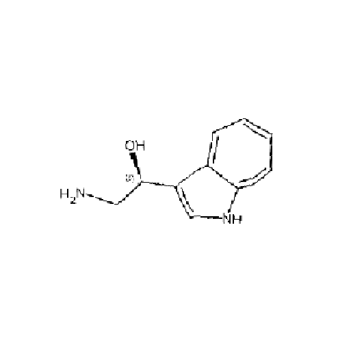 NC[C@@H](O)c1c[nH]c2ccccc12